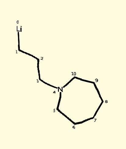 [Li][CH2]CCN1CCCCCC1